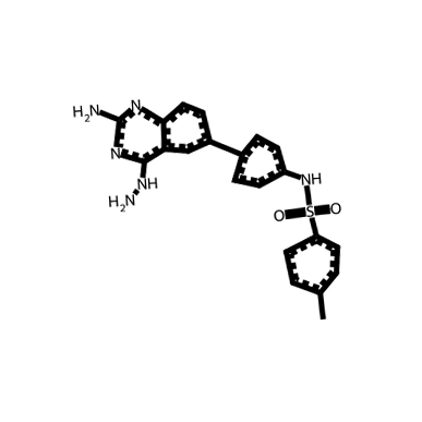 Cc1ccc(S(=O)(=O)Nc2ccc(-c3ccc4nc(N)nc(NN)c4c3)cc2)cc1